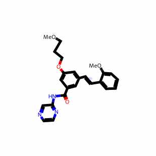 COCCCOc1cc(/C=C/c2ccccc2OC)cc(C(=O)Nc2cnccn2)c1